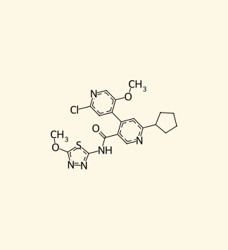 COc1nnc(NC(=O)c2cnc(C3CCCC3)cc2-c2cc(Cl)ncc2OC)s1